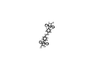 CC1CC(=O)N(c2ccc(CCc3ccc(N4C(=O)CC(C)C4=O)cc3)cc2)C1=O